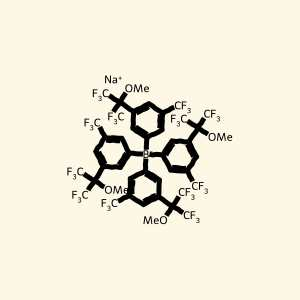 COC(c1cc([B-](c2cc(C(F)(F)F)cc(C(OC)(C(F)(F)F)C(F)(F)F)c2)(c2cc(C(F)(F)F)cc(C(OC)(C(F)(F)F)C(F)(F)F)c2)c2cc(C(F)(F)F)cc(C(OC)(C(F)(F)F)C(F)(F)F)c2)cc(C(F)(F)F)c1)(C(F)(F)F)C(F)(F)F.[Na+]